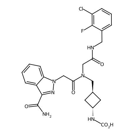 NC(=O)c1nn(CC(=O)N(CC(=O)NCc2cccc(Cl)c2F)C[C@H]2C[C@H](NC(=O)O)C2)c2ccccc12